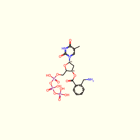 Cc1cn([C@H]2C[C@@H](OC(=O)c3ccccc3CN)C(COP(=O)(O)OP(=O)(O)OP(=O)(O)O)O2)c(=O)[nH]c1=O